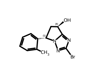 Cc1ccccc1[C@@H]1C[C@@H](O)c2nc(Br)nn21